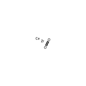 O=O.[Ce].[Zr]